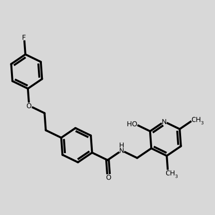 Cc1cc(C)c(CNC(=O)c2ccc(CCOc3ccc(F)cc3)cc2)c(O)n1